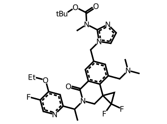 CCOc1cc(C(C)N2CC3(CC3(F)F)c3c(CN(C)C)cc(Cn4ccnc4N(C)C(=O)OC(C)(C)C)cc3C2=O)ncc1F